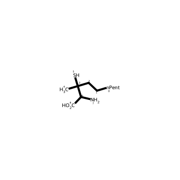 CCCCCCCC(C)(S)C(N)C(=O)O